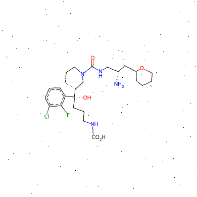 N[C@H](CNC(=O)N1CCC[C@@H]([C@@](O)(CCCNC(=O)O)c2cccc(Cl)c2F)C1)CC1CCCCO1